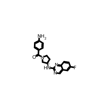 Nc1ccc(C(=O)N2CC[C@@H](Nc3ncc4cc(F)ccc4n3)C2)cc1